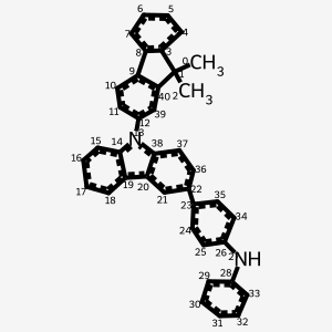 CC1(C)c2ccccc2-c2ccc(-n3c4ccccc4c4cc(-c5ccc(Nc6ccccc6)cc5)ccc43)cc21